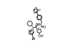 Cc1ncsc1-c1ccc(CNC(=O)[C@@H]2C[C@@H](O)CN2C(=O)[C@H](C2CCCCC2)n2cc(C3CC3)nn2)cc1